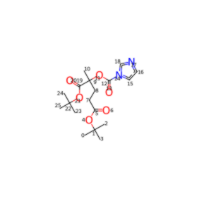 CC(C)(C)OC(=O)CCC(C)(OC(=O)n1ccnc1)C(=O)OC(C)(C)C